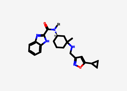 CCN(C(=O)c1nc2ccccc2[nH]1)[C@H]1CCCC(C)(NCc2cc(C3CC3)on2)C1